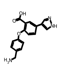 NCc1ccc(Oc2ccc(-c3cn[nH]c3)cc2C(=O)O)cc1